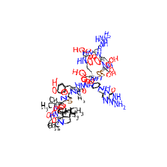 CCCC(=O)OCN(C(=O)[C@@H](NC(=O)[C@H]1CCCCN1C)[C@@H](C)CC)[C@H](C[C@@H](OC(C)=O)c1nc(C(=O)N[C@@H](Cc2ccc(O)cc2)C[C@H](C)C(=O)NNC(=O)OCCSSC[C@H](NC(=O)[C@H](CC(=O)O)NC(=O)[C@H](CCCNC(=N)N)NC(=O)[C@H](CC(=O)O)NC(=O)CC[C@H](NC(=O)c2ccc(NCc3cnc4nc(N)[nH]c(=O)c4n3)cc2)C(=O)O)C(=O)O)cs1)C(C)C